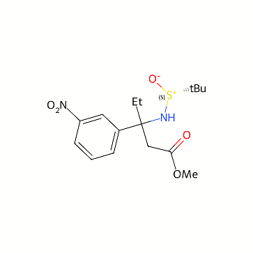 CCC(CC(=O)OC)(N[S@+]([O-])C(C)(C)C)c1cccc([N+](=O)[O-])c1